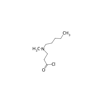 CCCCCN(C)CCC(=O)Cl